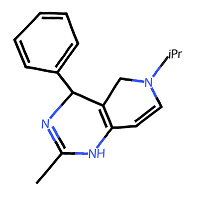 CC1=NC(c2ccccc2)C2=C(C=CN(C(C)C)C2)N1